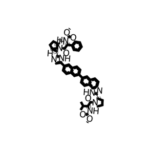 COC(=O)N[C@H](C(=O)N1CCC[C@H]1c1nc2ccc3cc(-c4ccc5cc(-c6cnc([C@@H]7[C@H]8CC[C@H](C8)N7C(=O)[C@H](NC(=O)OC)c7ccccc7)[nH]6)ccc5c4)ccc3c2[nH]1)C(C)C